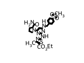 CCOC(=O)c1sc(Nc2nc(NCc3ccc(S(C)(=O)=O)cc3)cc(N3CCCC3C(N)=O)n2)nc1C